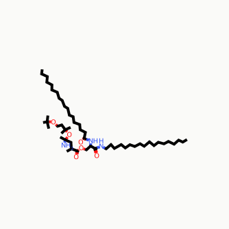 CCCCCCCCCCCCCCCCCCNC(=O)C(COC(=O)C(C)CC(C)(N)OC(C)(C)CCOC(C)(C)C)NC(=O)CCCCCCCCCCCCCCCCC